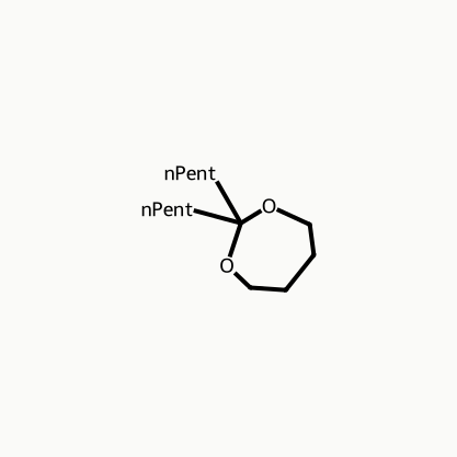 CCCCCC1(CCCCC)OCCCCO1